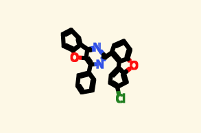 Clc1ccc2c(c1)oc1cccc(-c3nc(-c4ccccc4)c4oc5ccccc5c4n3)c12